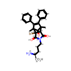 CC12C(=O)C(C)(C(c3ccccc3)=C1c1ccccc1)C1(Br)C(=O)N(CCC[C@H](N)C(=O)O)C(=O)C21